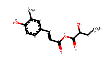 COc1cc(C=CC(=O)OC(=O)C(O)CC(=O)O)ccc1O